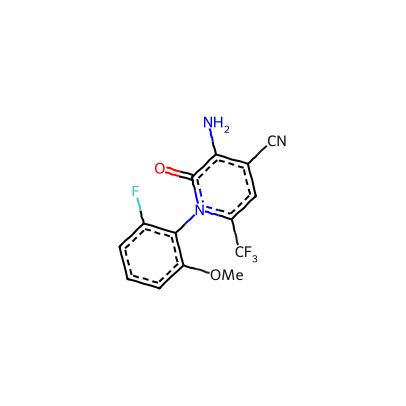 COc1cccc(F)c1-n1c(C(F)(F)F)cc(C#N)c(N)c1=O